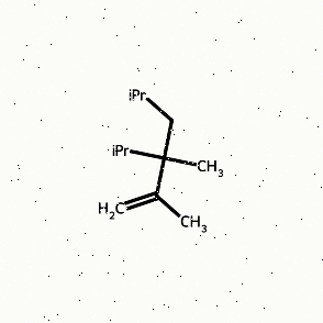 C=C(C)C(C)(CC(C)C)C(C)C